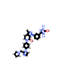 Cc1nn(-c2cccc(-c3n[nH]c(=O)[nH]3)c2)c2c1CCN(c1ccc(-n3ccnc3CN3CCCC3)cc1)C2=O